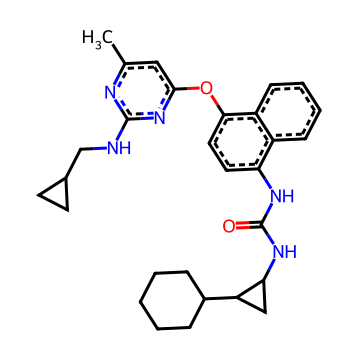 Cc1cc(Oc2ccc(NC(=O)NC3CC3C3CCCCC3)c3ccccc23)nc(NCC2CC2)n1